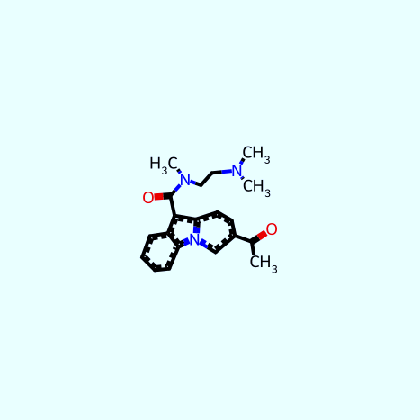 CC(=O)c1ccc2c(C(=O)N(C)CCN(C)C)c3ccccc3n2c1